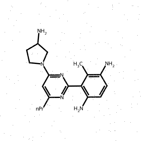 CCCc1cc(N2CCC(N)C2)nc(-c2c(N)ccc(N)c2C)n1